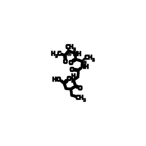 CCC(CC(=O)O)C(=O)NCC(=O)N[C@@H](C)C(=O)N[C@@H](C)C(C)=O